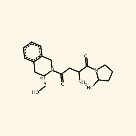 N#CC1CCCN1C(=O)C(N)CC(=O)N1Cc2ccccc2C[C@H]1CO